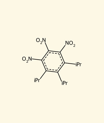 CC(C)c1c(C(C)C)c([N+](=O)[O-])c([N+](=O)[O-])c([N+](=O)[O-])c1C(C)C